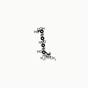 CCOC(=O)C(Cc1ccc(O)c(N=Nc2ccc(NC(=O)c3ccc(N=Nc4ccc(O)c(C(=O)O)c4)cc3)cc2)c1)NC(C)=O